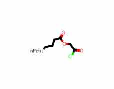 CCCCCCCCC(=O)OCC(=O)Cl